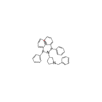 c1ccc(CN2CCC(N(P(c3ccccc3)c3ccccc3)P(c3ccccc3)c3ccccc3)C2)cc1